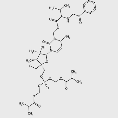 CC(C)C(=O)OCOP(=O)(OCOC(=O)C(C)C)OC[C@@]1(CF)O[C@@H](N2C=CC(N)N(COC(=O)C(NCC(=O)c3ccccc3)C(C)C)C2=O)[C@](C)(O)[C@@H]1C